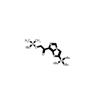 CCC[CH2][Sn]([CH2]CCC)([CH2]CCC)[c]1cn2cnc(C(=O)CO[Si](C)(C)C(C)(C)C)c2s1